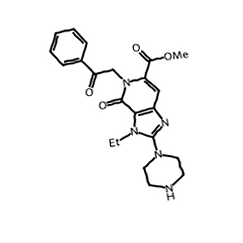 CCn1c(N2CCNCC2)nc2cc(C(=O)OC)n(CC(=O)c3ccccc3)c(=O)c21